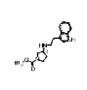 CC(C)(C)OC(=O)N1CC[C@H](NCCc2c[nH]c3ccccc23)C1